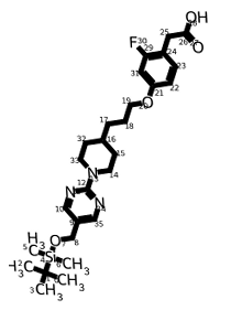 CC(C)(C)[Si](C)(C)OCc1cnc(N2CCC(CCCOc3ccc(CC(=O)O)c(F)c3)CC2)nc1